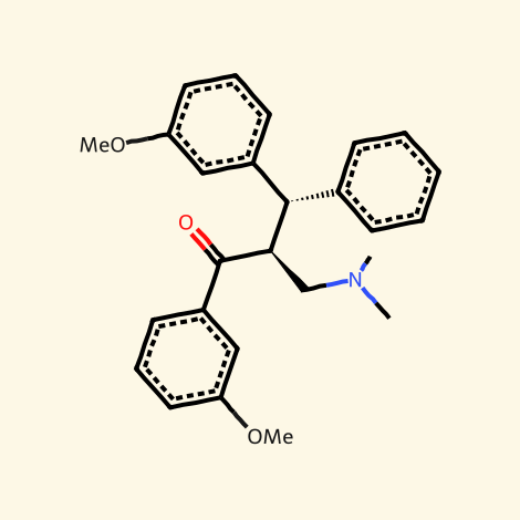 COc1cccc(C(=O)[C@H](CN(C)C)[C@@H](c2ccccc2)c2cccc(OC)c2)c1